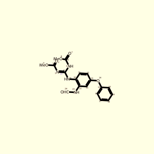 COC(=O)/N=C(\NC(=O)OC)Nc1ccc(Oc2ccccc2)cc1NC=O